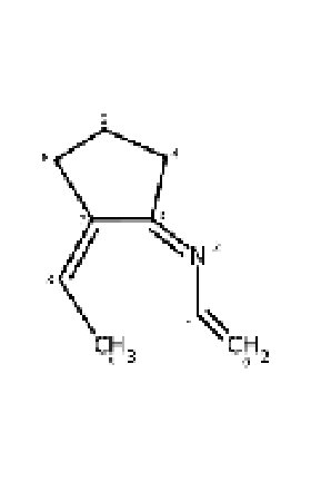 C=C/N=C1/CCC/C1=C/C